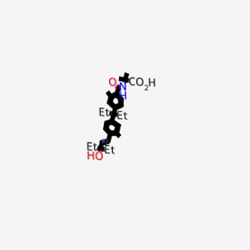 CCC(O)(/C=C/c1ccc(C(CC)(CC)c2ccc(C(=O)NC(C)(C)C(=O)O)c(C)c2)cc1C)CC